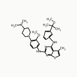 COc1cc(Nc2nc(Nc3cccc(C(C)(C)OC)c3)c3c(C)csc3n2)ccc1N1CCC(N(C)C)CC1